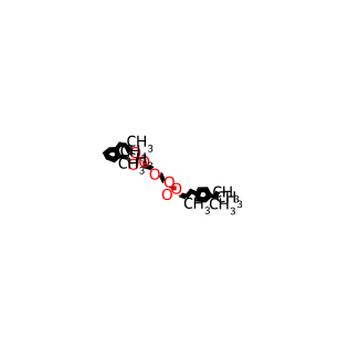 CC(=COC(=O)OCCOCCOC(=O)OC=C(C)Cc1ccccc1C(C)(C)C)Cc1ccc(C(C)(C)C)cc1